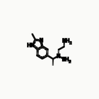 BN(CCN)C(C)c1ccc2[nH]c(C)nc2c1